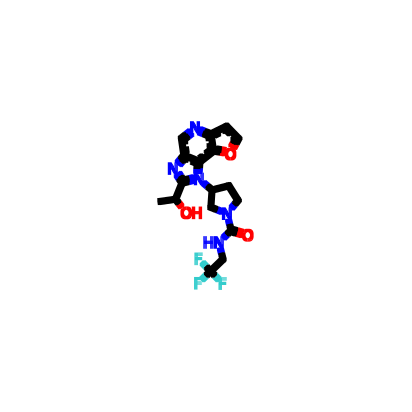 CC(O)c1nc2cnc3ccoc3c2n1C1CCN(C(=O)NCC(F)(F)F)C1